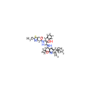 Cc1nc(CC(=O)N[C@@H](Cc2ccccc2)[C@H](O)CN[C@H]2CC3(CCC3)Oc3ncc(CC(C)(C)C)cc32)cs1